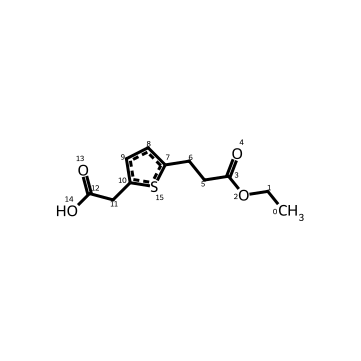 CCOC(=O)CCc1ccc(CC(=O)O)s1